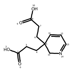 O=C(O)CCC1(CCC(=O)O)C=CC=NC1